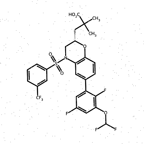 CC(C)(C[C@H]1CN(S(=O)(=O)c2cccc(C(F)(F)F)c2)c2cc(-c3cc(F)cc(OC(F)F)c3F)ccc2O1)C(=O)O